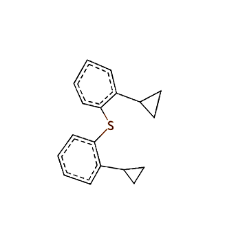 c1ccc(C2CC2)c(Sc2ccccc2C2CC2)c1